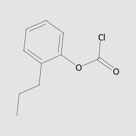 CCCc1ccccc1OC(=O)Cl